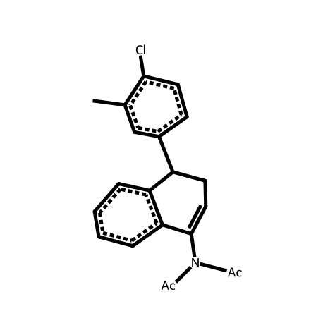 CC(=O)N(C(C)=O)C1=CCC(c2ccc(Cl)c(C)c2)c2ccccc21